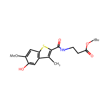 COc1cc2sc(C(=O)NCCC(=O)OC(C)(C)C)c(C)c2cc1O